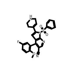 COc1ccc(F)cc1-c1c(C#N)cnc2c1cc(C1=CCNCC1)n2S(=O)(=O)c1ccccc1